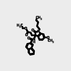 CCCCCN1C(=O)C(CCC(=O)OCC)(NC(=O)c2ccc3ccccc3c2)c2ccc(OC)cc21